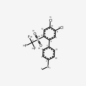 CSc1ccc(-c2cc(Cl)c(Cl)cc2S(=O)(=O)C(F)(F)F)cc1